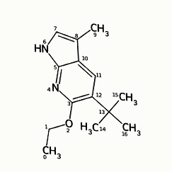 CCOc1nc2[nH]cc(C)c2cc1C(C)(C)C